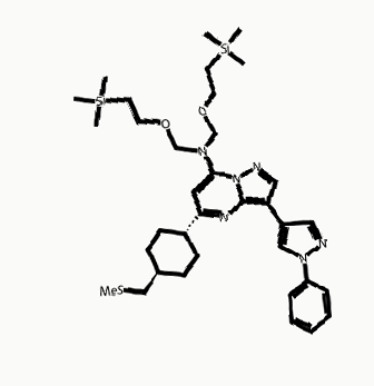 CSC[C@H]1CC[C@H](c2cc(N(COCC[Si](C)(C)C)COCC[Si](C)(C)C)n3ncc(-c4cnn(-c5ccccc5)c4)c3n2)CC1